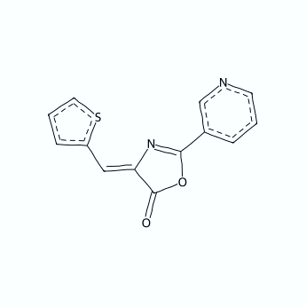 O=C1OC(c2cccnc2)=NC1=Cc1cccs1